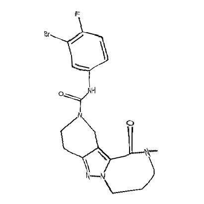 CN1CCCn2nc3c(c2C1=O)CN(C(=O)Nc1ccc(F)c(Br)c1)CC3